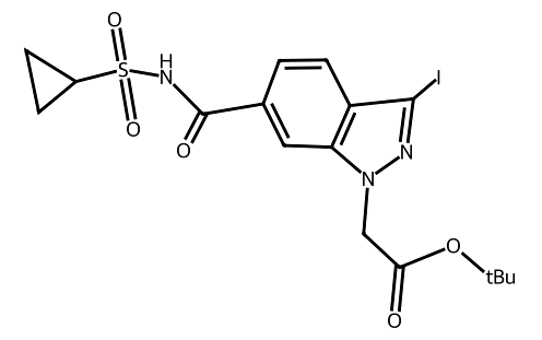 CC(C)(C)OC(=O)Cn1nc(I)c2ccc(C(=O)NS(=O)(=O)C3CC3)cc21